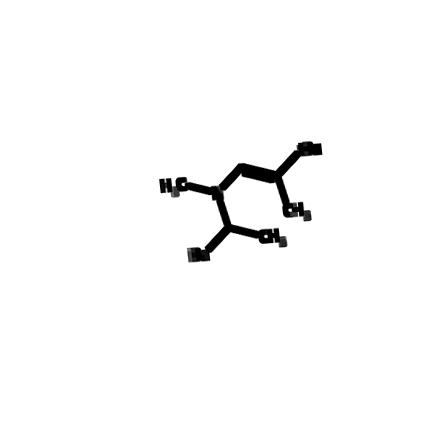 CCC(C)C(C)N(C)/C=C(\C)C(C)(C)C